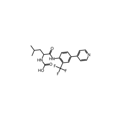 CC(C)CC(NC(=O)O)C(=O)Nc1ccc(-c2ccncc2)cc1C(F)(F)F